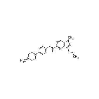 CCCc1nn(C)c2cnc(NCc3ccc(N4CCN(C)CC4)cc3)nc12